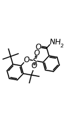 CC(C)(C)c1cccc(C(C)(C)C)c1OS(=O)(=O)c1ccccc1C(N)=O